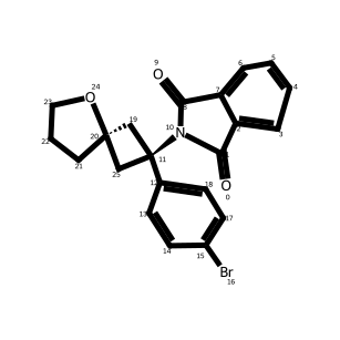 O=C1c2ccccc2C(=O)N1[C@]1(c2ccc(Br)cc2)C[C@@]2(CCCO2)C1